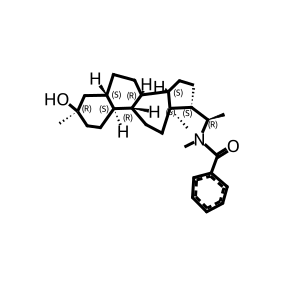 C[C@H]([C@H]1CC[C@H]2[C@@H]3CC[C@H]4C[C@](C)(O)CC[C@@H]4[C@H]3CC[C@]12C)N(C)C(=O)c1ccccc1